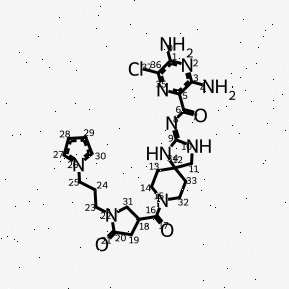 Nc1nc(N)c(C(=O)/N=C2\NCC3(CCN(C(=O)C4CC(=O)N(CCCn5cccc5)C4)CC3)N2)nc1Cl